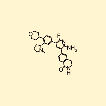 CN1CCC[C@H]1c1cc(-c2cc(-c3ccc4c(c3)CCNC4=O)c(N)nc2F)ccc1C1CCOCC1